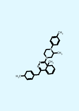 Cc1ccc(N2CCN(C3=NN=C(CC4=CCC(C)C=C4)C4=CC=CCC43C)CC2C)cc1